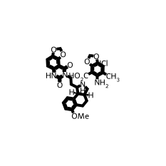 COc1cccc2c1CC[C@H]1CNC(CCn3c(=O)[nH]c4ccc5c(c4c3=O)OCO5)[C@@H]21.Cc1cc2c(c(C(=O)O)c1N)OCO2.Cl